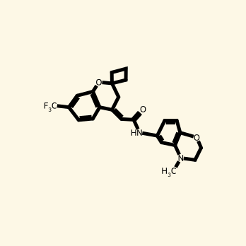 CN1CCOc2ccc(NC(=O)C=C3CC4(CCC4)Oc4cc(C(F)(F)F)ccc43)cc21